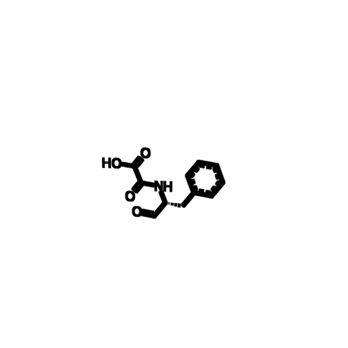 O=C[C@@H](Cc1ccccc1)NC(=O)C(=O)O